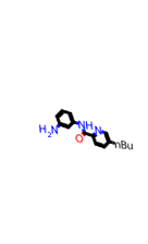 CCCCc1ccc(C(=O)Nc2cccc(N)c2)nc1